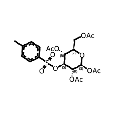 CC(=O)OC[C@H]1O[C@@H](OC(C)=O)[C@H](OC(C)=O)[C@@H](OS(=O)(=O)c2ccc(C)cc2)[C@@H]1OC(C)=O